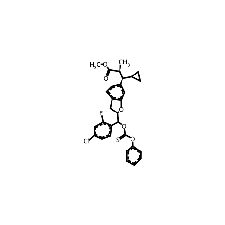 COC(=O)[C@@H](C)[C@H](c1ccc2c(c1)OC(C(OC(=S)Oc1ccccc1)c1ccc(Cl)cc1F)C2)C1CC1